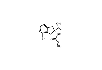 CC(O)[C@]1(NC(=O)OC(C)(C)C)Cc2cccc(Br)c2C1